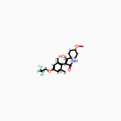 CO[C@H]1CC[C@]2(CC1)NC(=O)C(c1c(C)cc(OCC(F)(F)F)cc1C)=C2O